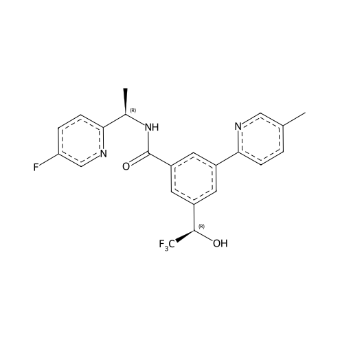 Cc1ccc(-c2cc(C(=O)N[C@H](C)c3ccc(F)cn3)cc([C@@H](O)C(F)(F)F)c2)nc1